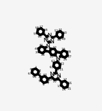 c1ccc(-c2cccc(-c3cc(-c4ccccc4)nc(-c4ccc(-n5c6ccccc6c6cc7c(cc65)c5ccccc5n7-c5nc(-c6ccccc6)nc(-c6ccccc6)n5)cc4)n3)c2)cc1